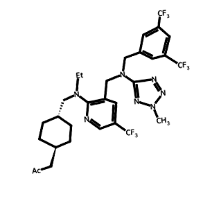 CCN(C[C@H]1CC[C@H](CC(C)=O)CC1)c1ncc(C(F)(F)F)cc1CN(Cc1cc(C(F)(F)F)cc(C(F)(F)F)c1)c1nnn(C)n1